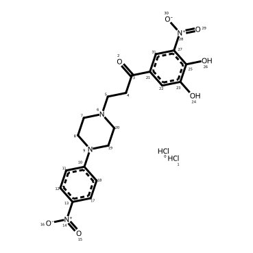 Cl.Cl.O=C(CCN1CCN(c2ccc([N+](=O)[O-])cc2)CC1)c1cc(O)c(O)c([N+](=O)[O-])c1